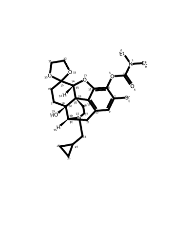 CCN(CC)C(=O)Oc1c(Br)cc2c3c1O[C@H]1C4(CC[C@@]5(O)[C@@H](C2)N(CC2CC2)CC[C@]315)OCCO4